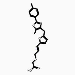 Cc1ccc(-c2nc(Cc3ccc(/C=C/CSCC(=O)O)o3)c(C)o2)cc1